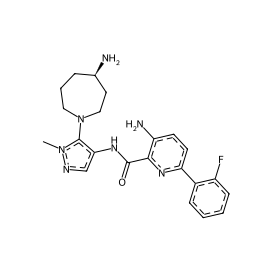 Cn1ncc(NC(=O)c2nc(-c3ccccc3F)ccc2N)c1N1CCC[C@@H](N)CC1